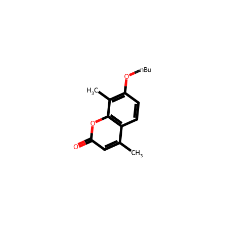 CCCCOc1ccc2c(C)cc(=O)oc2c1C